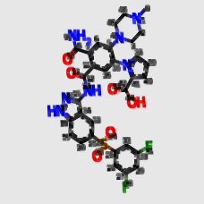 CN1CCN(c2cc(C(N)=O)c(C(=O)Nc3n[nH]c4ccc(S(=O)(=O)c5cc(F)cc(F)c5)cc34)cc2-n2cccc2C(=O)O)CC1